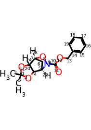 CC1(C)OC2[C@H]3C[C@H](ON3C(=O)OCc3ccccc3)[C@H]2O1